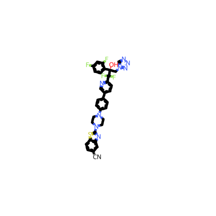 N#Cc1ccc2sc(N3CCN(c4ccc(-c5ccc(C(F)(F)[C@](O)(Cn6cnnn6)c6ccc(F)cc6F)nc5)cc4)CC3)nc2c1